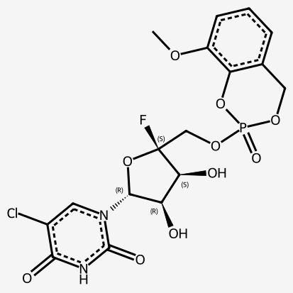 COc1cccc2c1OP(=O)(OC[C@@]1(F)O[C@@H](n3cc(Cl)c(=O)[nH]c3=O)[C@H](O)[C@@H]1O)OC2